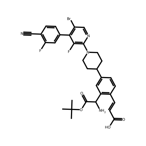 CC(C)(C)OC(=O)C(N)c1cc(C2CCN(c3ncc(Br)c(-c4ccc(C#N)c(F)c4)c3F)CC2)ccc1/C=C/C(=O)O